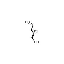 CCCC=CO.Cl